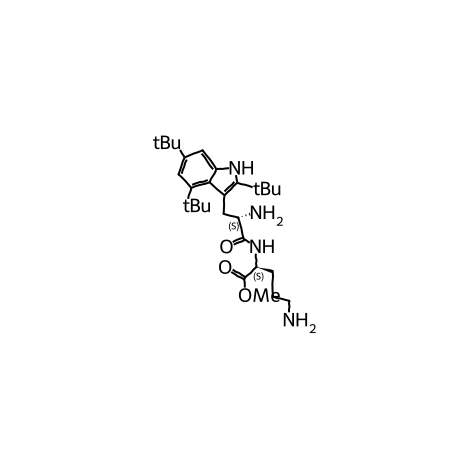 COC(=O)[C@H](CCCN)NC(=O)[C@@H](N)Cc1c(C(C)(C)C)[nH]c2cc(C(C)(C)C)cc(C(C)(C)C)c12